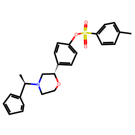 Cc1ccc(S(=O)(=O)Oc2ccc([C@H]3CN([C@H](C)c4ccccc4)CCO3)cc2)cc1